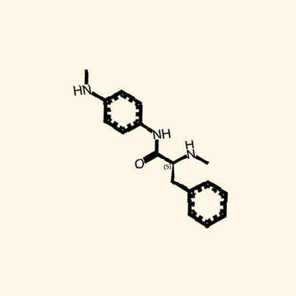 CNc1ccc(NC(=O)[C@H](Cc2ccccc2)NC)cc1